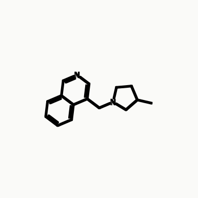 CC1CCN(Cc2cncc3ccccc23)C1